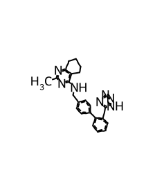 Cc1nc2c(c(NCc3ccc(-c4ccccc4-c4nnn[nH]4)cc3)n1)CCCC2